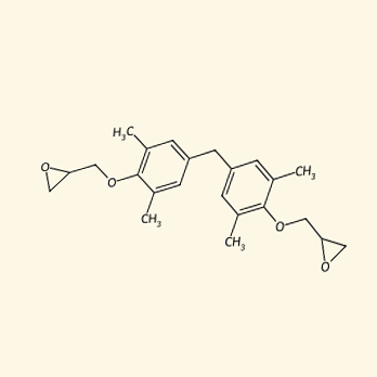 Cc1cc(Cc2cc(C)c(OCC3CO3)c(C)c2)cc(C)c1OCC1CO1